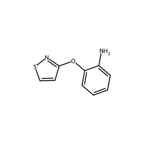 Nc1ccccc1Oc1ccsn1